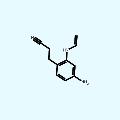 C=CNc1cc(N)ccc1CCC#N